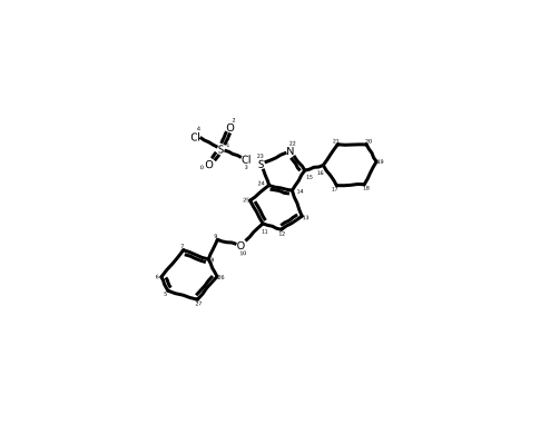 O=S(=O)(Cl)Cl.c1ccc(COc2ccc3c(C4CCCCC4)nsc3c2)cc1